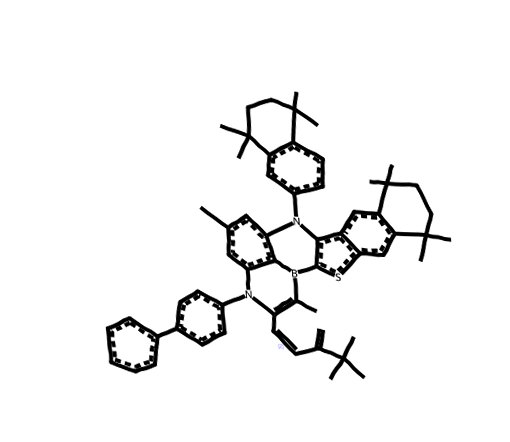 C=C(/C=C\C1=C(C)B2c3sc4cc5c(cc4c3N(c3ccc4c(c3)C(C)(C)CCC4(C)C)c3cc(C)cc(c32)N1c1ccc(-c2ccccc2)cc1)C(C)(C)CCC5(C)C)C(C)(C)C